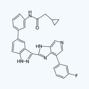 O=C(CC1CC1)Nc1cccc(-c2ccc3[nH]nc(-c4nc5c(-c6cccc(F)c6)cncc5[nH]4)c3c2)c1